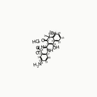 CCCCC1(C)C(=O)C(C2=NS(=O)(=O)c3cc(N)ccc3N2)=C(O)c2ccccc21.Cl